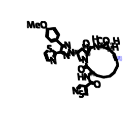 COc1ccc(-c2nn([C@@H]3C[C@H]4C(=O)N[C@@]5(C(=O)O)C[C@H]5/C=C\CCCCC[C@@H](NC(=O)c5cnsc5)C(=O)N4C3)nc2-c2nccs2)cc1